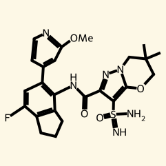 COc1cc(-c2cc(F)c3c(c2NC(=O)c2nn4c(c2S(=N)(N)=O)OCC(C)(C)C4)CCC3)ccn1